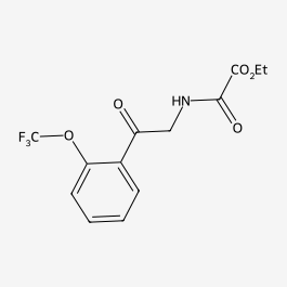 CCOC(=O)C(=O)NCC(=O)c1ccccc1OC(F)(F)F